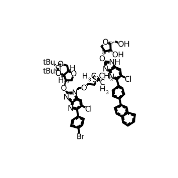 CC(C)(C)[Si]1(C(C)(C)C)OC[C@H]2OC[C@@H](Oc3nc4nc(-c5ccc(Br)cc5)c(Cl)cc4n3COCC[Si](C)(C)C)[C@@H]2O1.OC[C@H]1OC[C@@H](Oc2nc3nc(-c4ccc(-c5ccc6ccccc6c5)cc4)c(Cl)cc3[nH]2)[C@@H]1O